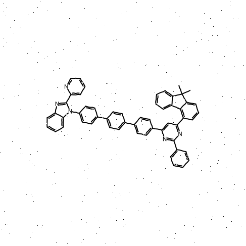 CC1(C)c2ccccc2-c2c(-c3cc(-c4ccc(-c5ccc(-c6ccc(-n7c(-c8ccccn8)nc8ccccc87)cc6)cc5)cc4)nc(-c4ccccc4)n3)cccc21